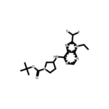 CCn1c(C(F)F)nc2c(NC3CCN(C(=O)OC(C)(C)C)C3)ncnc21